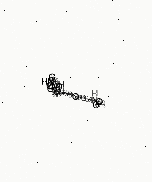 CC(C)(C)OC(=O)NCCCCCCCCOCCCCCCNc1cccc2c1C(=O)N(C1CCC(=O)NC1=O)C2=O